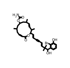 CC1/C=C/C(C)C(/C=C/C#C/C=C/C(C)(C)C(O)c2cccc(O)c2Br)OC(=O)/C=C\CC(C)CC(OC(N)=O)C1